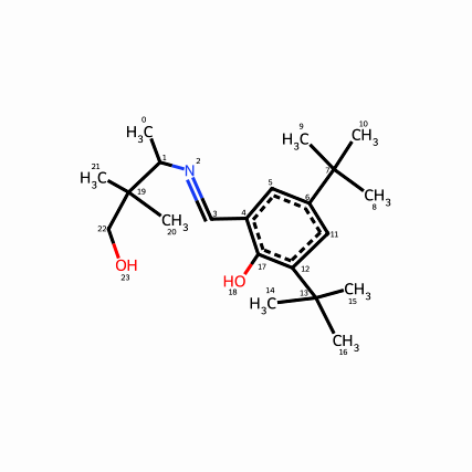 CC(N=Cc1cc(C(C)(C)C)cc(C(C)(C)C)c1O)C(C)(C)CO